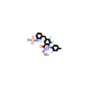 CCS(=O)(=O)Nc1cccc(Cc2cc(C(=O)NOC(C)(C)C)c(Nc3ccc(C)cc3F)c(F)c2F)c1F